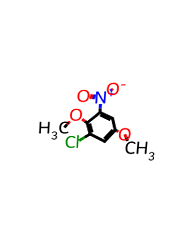 COc1cc(Cl)c(OC)c([N+](=O)[O-])c1